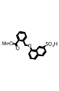 COC(=O)c1ccccc1COc1cccc2ccc(S(=O)(=O)O)cc12